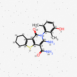 Cc1ccc(O)c(C)c1-n1c(N)c(C(N)=O)c2sc3c(c2c1=O)CCCC3